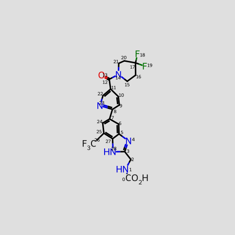 O=C(O)NCc1nc2cc(-c3ccc(C(=O)N4CCC(F)(F)CC4)cn3)cc(C(F)(F)F)c2[nH]1